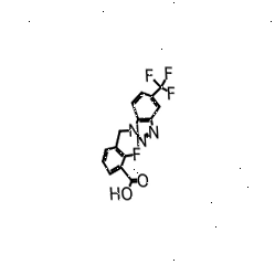 O=C(O)c1cccc(Cn2nnc3cc(C(F)(F)F)ccc32)c1F